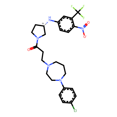 O=C(CCN1CCCN(c2ccc(Cl)cc2)CC1)N1CC[C@H](Nc2ccc([N+](=O)[O-])c(C(F)(F)F)c2)C1